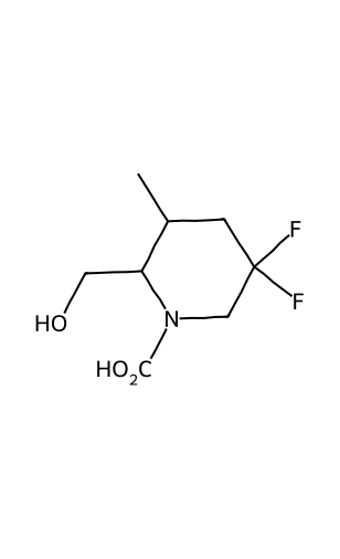 CC1CC(F)(F)CN(C(=O)O)C1CO